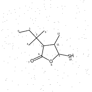 CCC(C)(C)C1C(=O)OC(S)C1C